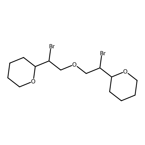 BrC(COCC(Br)C1CCCCO1)C1CCCCO1